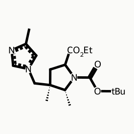 CCOC(=O)C1C[C@](C)(Cn2cnc(C)c2)[C@@H](C)N1C(=O)OC(C)(C)C